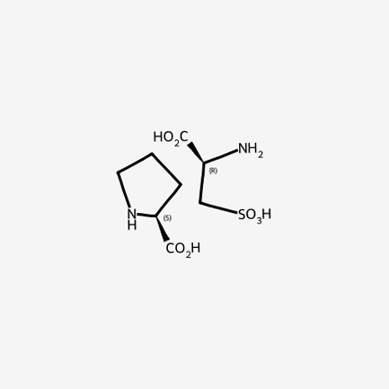 N[C@@H](CS(=O)(=O)O)C(=O)O.O=C(O)[C@@H]1CCCN1